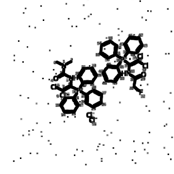 CN(C)C(=O)NC(=C(Cl)Cl)[P+](c1ccccc1)(c1ccccc1)c1ccccc1.O=C(CF)NC(=C(Cl)Cl)[P+](c1ccccc1)(c1ccccc1)c1ccccc1.[Cl-].[Cl-]